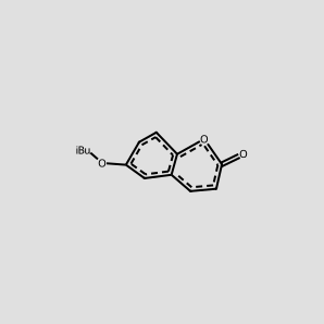 CCC(C)Oc1ccc2oc(=O)ccc2c1